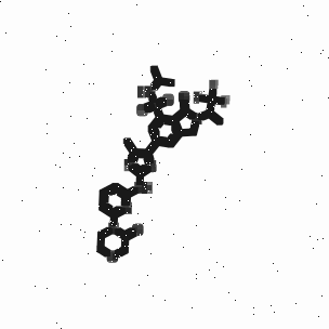 Cc1nc(Nc2cccc(N3CCOCC3=O)n2)sc1-c1cc2c(c(S(=O)(=O)NC(C)C)c1)C(=O)N(C(C)C(F)(F)F)C2